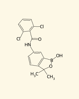 CC1(C)OB(O)c2cc(NC(=O)c3c(Cl)cccc3Cl)ccc21